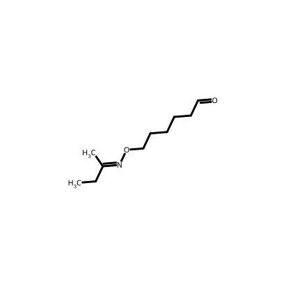 CC/C(C)=N/OCCCCCC=O